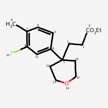 CCOC(=O)CCC1(c2ccc(C)c(F)c2)CCOCC1